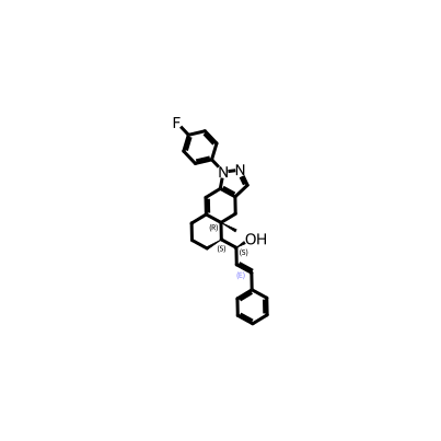 C[C@]12Cc3cnn(-c4ccc(F)cc4)c3C=C1CCC[C@@H]2[C@@H](O)/C=C/c1ccccc1